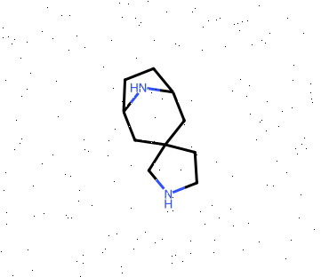 C1CC2(CN1)CC1CCC(C2)N1